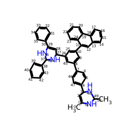 CC1=CC(c2ccc(-c3cc(-c4cc5ccccc5c5ccccc45)cc(C4C=C(c5ccccc5)NC(c5ccccc5)N4)c3)cc2)NC(C)N1